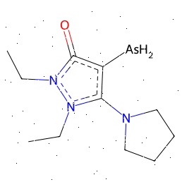 CCn1c(N2CCCC2)c([AsH2])c(=O)n1CC